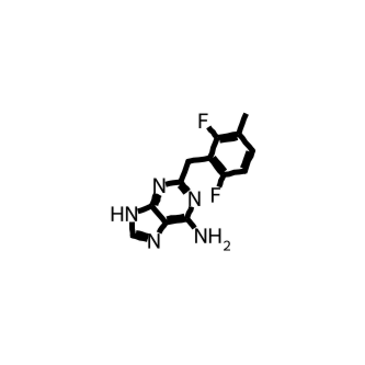 Cc1ccc(F)c(Cc2nc(N)c3nc[nH]c3n2)c1F